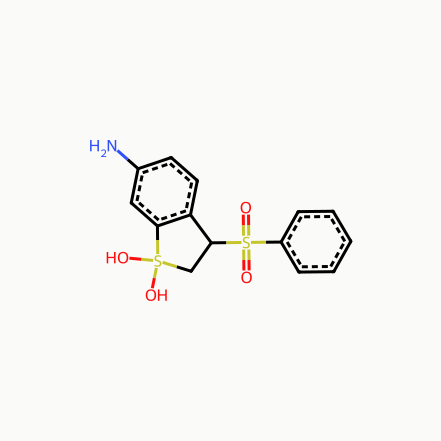 Nc1ccc2c(c1)S(O)(O)CC2S(=O)(=O)c1ccccc1